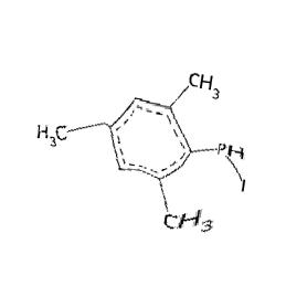 Cc1cc(C)c(PI)c(C)c1